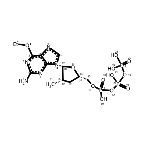 CCOc1nc(N)nc2c1ncn2[C@@H]1O[C@H](COP(=O)(O)OP(=O)(O)OP(=O)(O)O)C[C@@H]1C